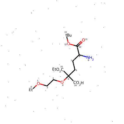 CCOCCOC(CCC(N)C(=O)OC(C)(C)C)(C(=O)O)C(=O)OCC